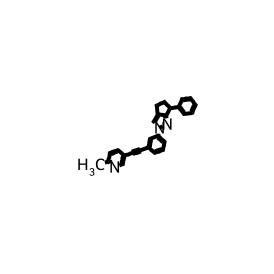 Cc1ccc(C#Cc2cccc(-n3cc4c(n3)C(c3ccccc3)CC4)c2)cn1